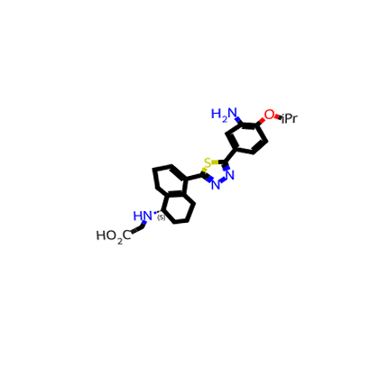 CC(C)Oc1ccc(-c2nnc(C3=CCCC4=C3CCC[C@@H]4NCC(=O)O)s2)cc1N